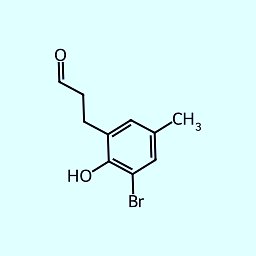 Cc1cc(Br)c(O)c(CCC=O)c1